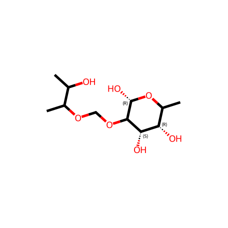 CC(O)C(C)OCOC1[C@H](O)OC(C)[C@H](O)[C@@H]1O